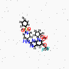 Cc1ccc(S(=O)(=O)N2CCC(Nc3ncc4cc(OC(F)F)c(=O)n([C@@H]5CCC[C@@]5(C)O)c4n3)CC2)cc1